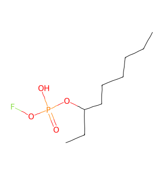 CCCCCCC(CC)OP(=O)(O)OF